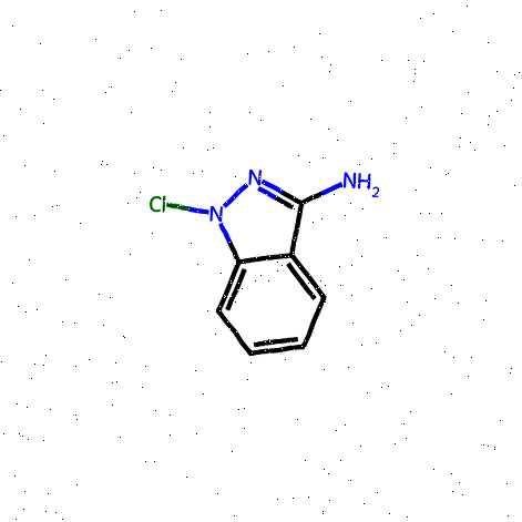 Nc1nn(Cl)c2ccccc12